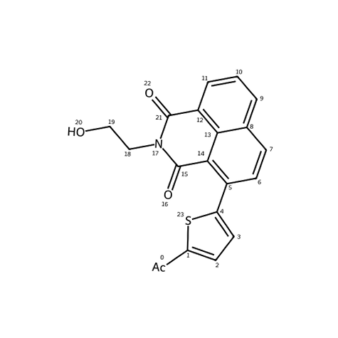 CC(=O)c1ccc(-c2ccc3cccc4c3c2C(=O)N(CCO)C4=O)s1